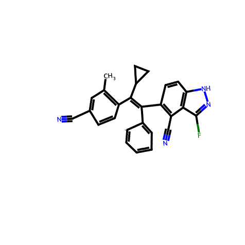 Cc1cc(C#N)ccc1/C(=C(\c1[c]cccc1)c1ccc2[nH]nc(F)c2c1C#N)C1CC1